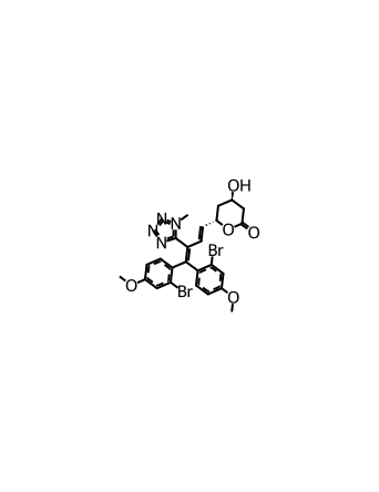 COc1ccc(C(=C(/C=C/[C@@H]2C[C@@H](O)CC(=O)O2)c2nnnn2C)c2ccc(OC)cc2Br)c(Br)c1